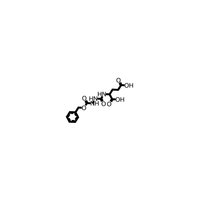 O=C(O)CCC(NC(=O)NNC(=O)OCc1ccccc1)C(=O)O